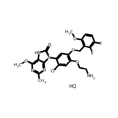 COc1ccc(F)c(F)c1COc1cc(-n2c(=O)[nH]c3c(OC)nc(C)nc32)c(Cl)cc1OCCN.Cl